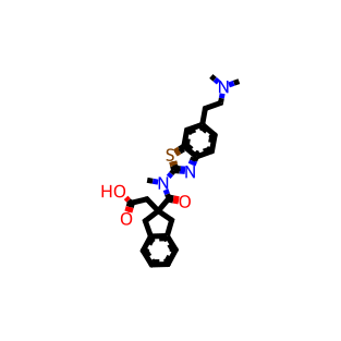 CN(C)CCc1ccc2nc(N(C)C(=O)C3(CC(=O)O)Cc4ccccc4C3)sc2c1